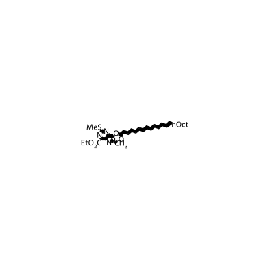 CCCCCCCCC=CCCCCCCCCCCCC(=O)Oc1c2nc(SC)nc(C(=O)OCC)c2nn1C